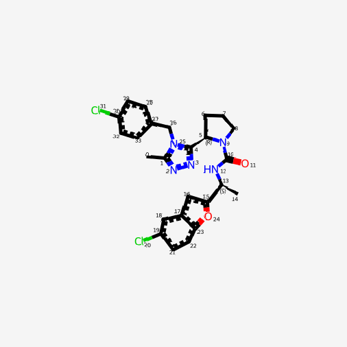 Cc1nnc([C@H]2CCCN2C(=O)N[C@@H](C)c2cc3cc(Cl)ccc3o2)n1Cc1ccc(Cl)cc1